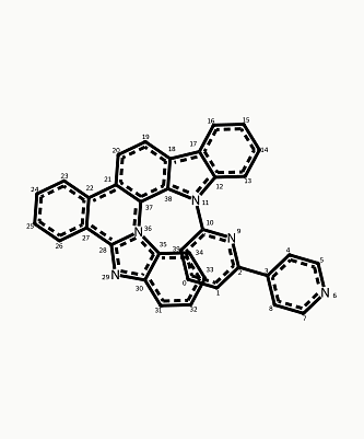 c1cc(-c2ccncc2)nc(-n2c3ccccc3c3ccc4c5ccccc5c5nc6ccccc6n5c4c32)c1